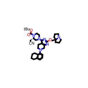 CC(C)(C)OC(=O)N1CCN(c2nc(OCC34CCCN3CCC4)nc3c2CCN(c2cccc4c2CCCC4)C3)C[C@@H]1CC#N